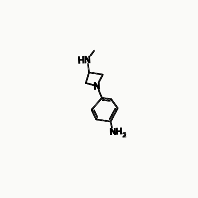 CNC1CN(c2ccc(N)cc2)C1